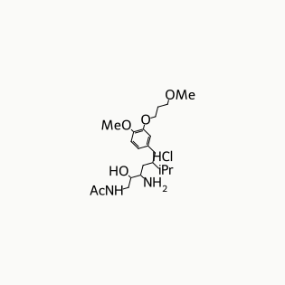 COCCCOc1cc(CC(CC(N)C(O)CNC(C)=O)C(C)C)ccc1OC.Cl